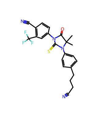 CC1(C)C(=O)N(c2ccc(C#N)c(C(F)(F)F)c2)C(=S)N1c1ccc(CCCC#N)cc1